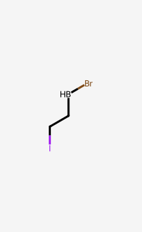 BrBCCI